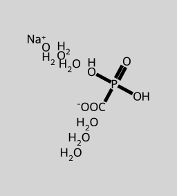 O.O.O.O.O.O.O=C([O-])P(=O)(O)O.[Na+]